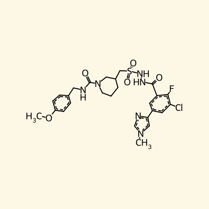 COc1ccc(CNC(=O)N2CCCC(CS(=O)(=O)NNC(=O)c3cc(-c4cn(C)cn4)cc(Cl)c3F)C2)cc1